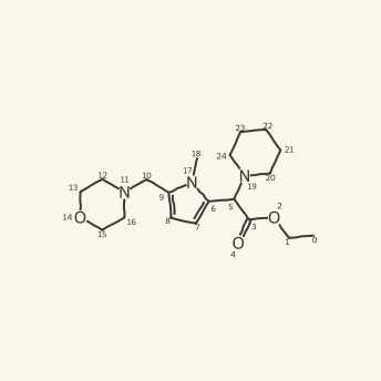 CCOC(=O)C(c1ccc(CN2CCOCC2)n1C)N1CCCCC1